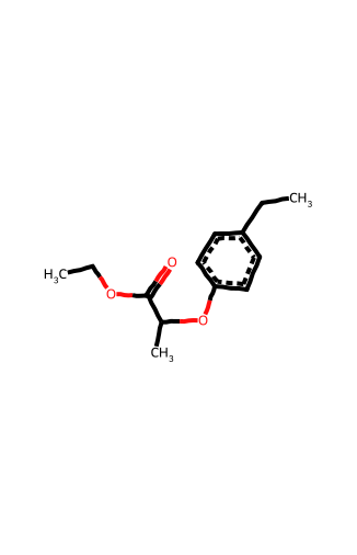 CCOC(=O)C(C)Oc1ccc(CC)cc1